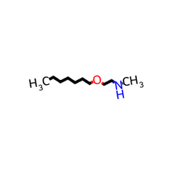 CCCCCCCOCCNC